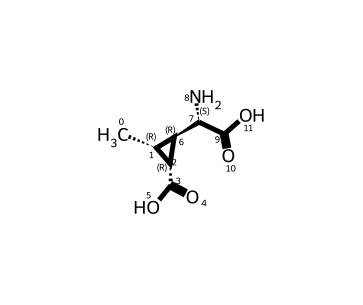 C[C@H]1[C@@H](C(=O)O)[C@@H]1[C@H](N)C(=O)O